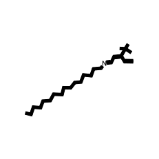 C=C/C(=C\C=N\CCCCCCCCCCCCCCCC)C(C)(C)C